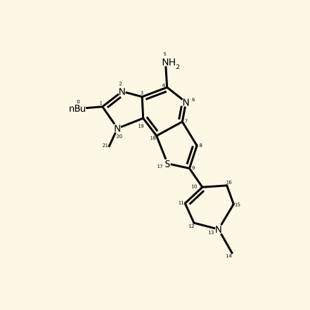 CCCCc1nc2c(N)nc3cc(C4=CCN(C)CC4)sc3c2n1C